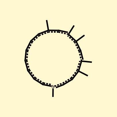 Cc1cccccccn(C)ccc(C)c(C)cc(C)c(C)c1